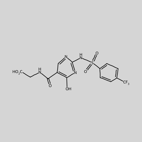 O=C(O)CNC(=O)c1cnc(NS(=O)(=O)c2ccc(C(F)(F)F)cc2)nc1O